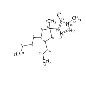 CCCCCCC(C)(CCCCC)c1nnn(C)c1I